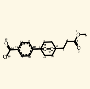 COC(=O)CCC12CCC(c3ccc(C(=O)Cl)cc3)(CC1)OC2